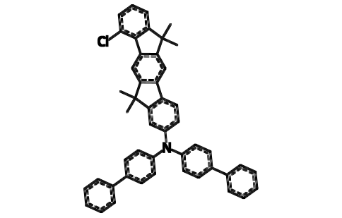 CC1(C)c2cc(N(c3ccc(-c4ccccc4)cc3)c3ccc(-c4ccccc4)cc3)ccc2-c2cc3c(cc21)-c1c(Cl)cccc1C3(C)C